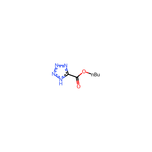 CCCCOC(=O)c1nnn[nH]1